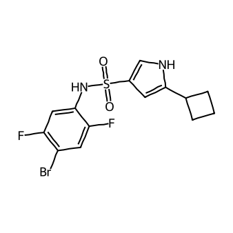 O=S(=O)(Nc1cc(F)c(Br)cc1F)c1c[nH]c(C2CCC2)c1